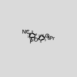 CC(C)Oc1ccc(Oc2ccc(C#N)cc2F)cc1